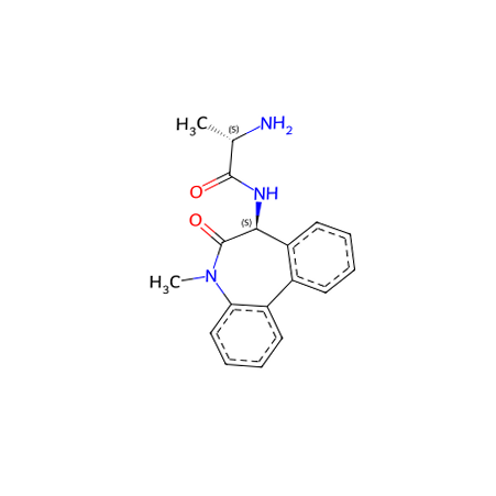 C[C@H](N)C(=O)N[C@@H]1C(=O)N(C)c2ccccc2-c2ccccc21